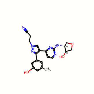 Cc1cc(O)cc(-c2nn(CCC#N)cc2-c2ccnc(N[C@@H]3COC[C@H]3O)n2)c1